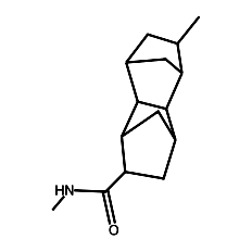 CNC(=O)C1CC2CC1C1C3CC(C)C(C3)C21